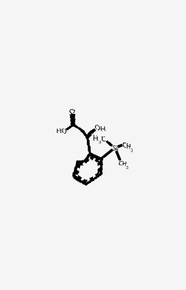 C[Si](C)(C)c1ccccc1C(O)C(=O)O